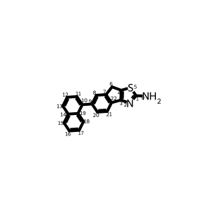 Nc1nc2c(s1)Cc1cc(-c3cccc4ccccc34)ccc1-2